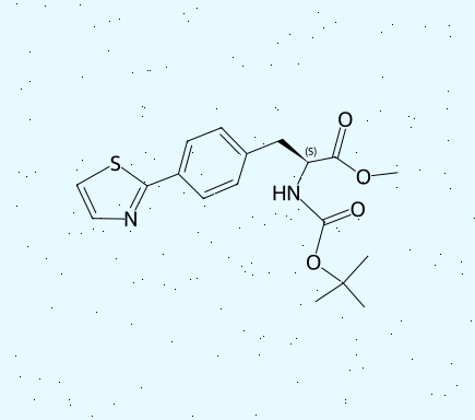 COC(=O)[C@H](Cc1ccc(-c2nccs2)cc1)NC(=O)OC(C)(C)C